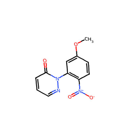 COc1ccc([N+](=O)[O-])c(-n2ncccc2=O)c1